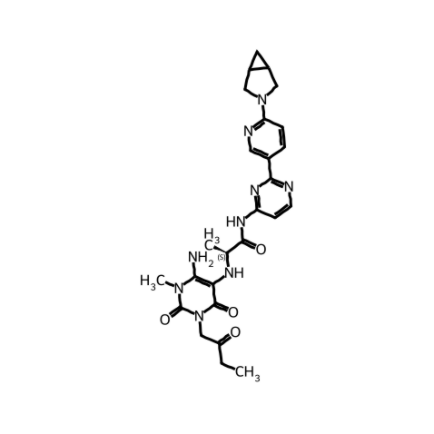 CCC(=O)Cn1c(=O)c(N[C@@H](C)C(=O)Nc2ccnc(-c3ccc(N4CC5CC5C4)nc3)n2)c(N)n(C)c1=O